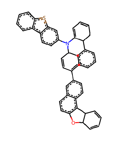 C1=CCC(c2ccccc2)C(N(c2ccc3c(c2)sc2ccccc23)C2C=CC(c3ccc4c5c(ccc4c3)OC3C=CC=CC53)=CC2)=C1